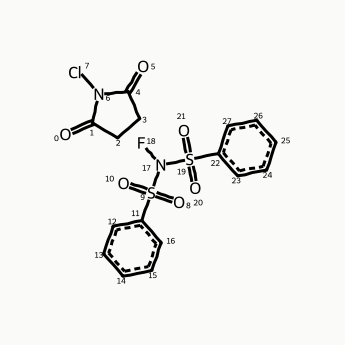 O=C1CCC(=O)N1Cl.O=S(=O)(c1ccccc1)N(F)S(=O)(=O)c1ccccc1